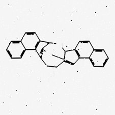 [Cl-].[Cl-].c1ccc2c3c(ccc2c1)[CH]1[Ti+2][CH]2C4=C(CCC1=C3CC4)c1c2ccc2ccccc12